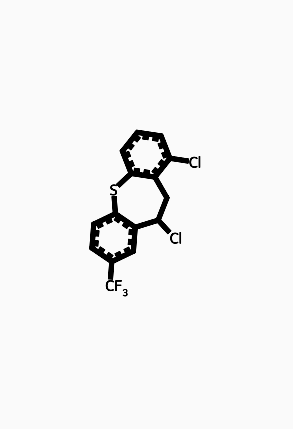 FC(F)(F)c1ccc2c(c1)C(Cl)Cc1c(Cl)cccc1S2